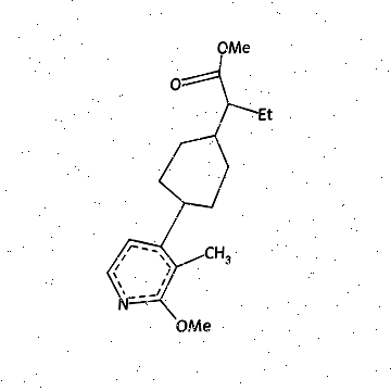 CCC(C(=O)OC)C1CCC(c2ccnc(OC)c2C)CC1